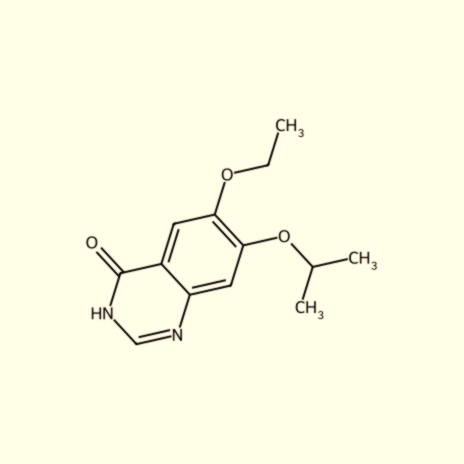 CCOc1cc2c(=O)[nH]cnc2cc1OC(C)C